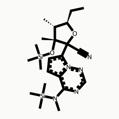 CC[C@H]1OC(C#N)(c2ccc3c(N(C)[Si](C)(C)C)ncnn23)[C@](C)(O[Si](C)(C)C)[C@@H]1C